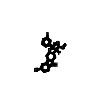 COC(=O)C(F)(C1CCc2c([nH]c3ccc(Cl)cc23)C1)S(=O)(=O)c1cccc(F)c1